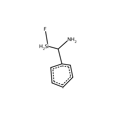 NC([SiH2]F)c1cc[c]cc1